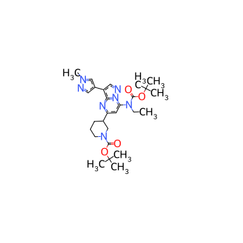 CCN(C(=O)OC(C)(C)C)c1cc(C2CCCN(C(=O)OC(C)(C)C)C2)nc2c(-c3cnn(C)c3)cnn12